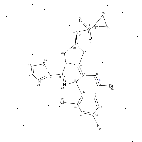 O=S(=O)(N[C@H]1CC2=C(/C=C/Br)C(c3ccc(F)cc3Cl)N=C(c3nccs3)N2C1)C1CC1